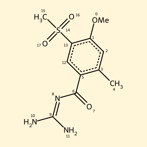 COc1cc(C)c(C(=O)N=C(N)N)cc1S(C)(=O)=O